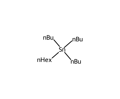 CCCCC[CH2][Sn]([CH2]CCC)([CH2]CCC)[CH2]CCC